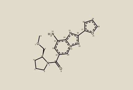 COC[C@@H]1CCCN1C(=O)c1cc(N)c2nc(-c3ccco3)nn2c1